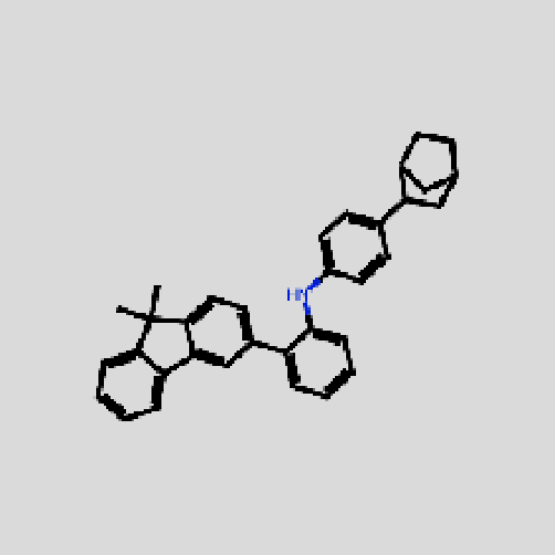 CC1(C)c2ccccc2-c2cc(-c3ccccc3Nc3ccc(C4CC5CCC4C5)cc3)ccc21